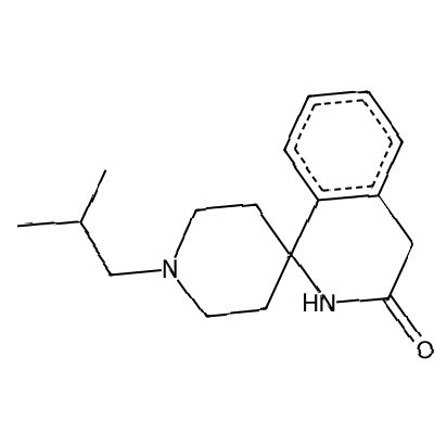 CC(C)CN1CCC2(CC1)NC(=O)Cc1ccccc12